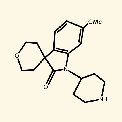 COc1ccc2c(c1)N(C1CCNCC1)C(=O)C21CCOCC1